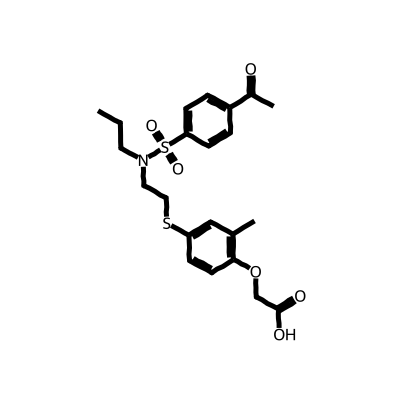 CCCN(CCSc1ccc(OCC(=O)O)c(C)c1)S(=O)(=O)c1ccc(C(C)=O)cc1